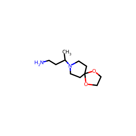 CC(CCN)N1CCC2(CC1)OCCO2